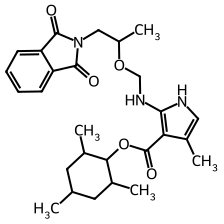 Cc1c[nH]c(NCOC(C)CN2C(=O)c3ccccc3C2=O)c1C(=O)OC1C(C)CC(C)CC1C